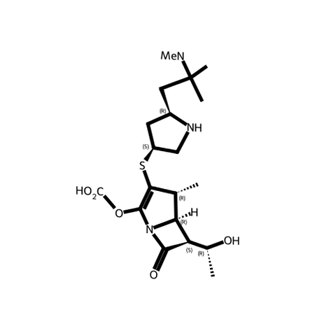 CNC(C)(C)C[C@@H]1C[C@H](SC2=C(OC(=O)O)N3C(=O)[C@H]([C@@H](C)O)[C@@H]3[C@H]2C)CN1